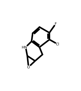 Fc1ccc2c(c1Cl)CC1OC1N2